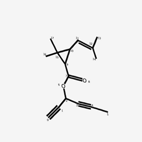 C#CC(C#CC)OC(=O)C1C(C=C(C)C)C1(C)C